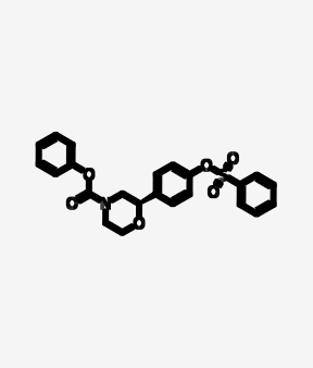 O=C(Oc1ccccc1)N1CCO[C@H](c2ccc(OS(=O)(=O)c3ccccc3)cc2)C1